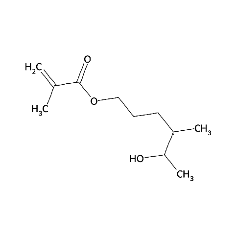 C=C(C)C(=O)OCCC[C](C)C(C)O